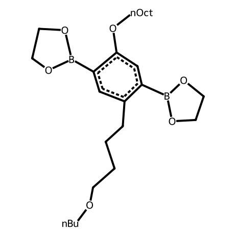 CCCCCCCCOc1cc(B2OCCO2)c(CCCCOCCCC)cc1B1OCCO1